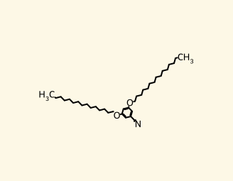 CCCCCCCCCCCCCCCOc1cc(C#N)cc(OCCCCCCCCCCCCCCC)c1